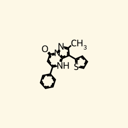 Cc1nn2c(=O)cc(-c3ccccc3)[nH]c2c1-c1cccs1